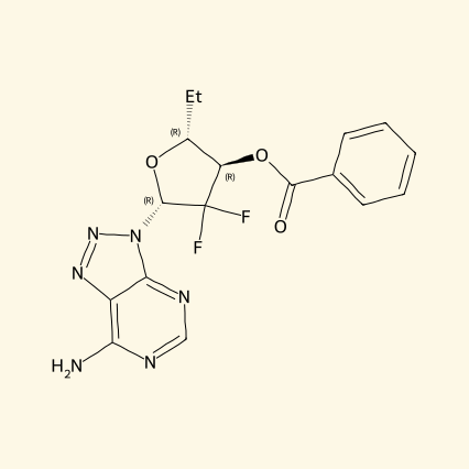 CC[C@H]1O[C@@H](n2nnc3c(N)ncnc32)C(F)(F)[C@@H]1OC(=O)c1ccccc1